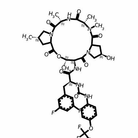 C[C@H]1CC2C(=O)O[C@@H](C)[C@H](NC(=O)[C@H](Cc3cc(F)cc(F)c3)NC(=O)Nc3ccc(OC(F)(F)F)cc3)C(=O)N3C[C@H](O)CC3C(=O)N(C)[C@@H](C)C(=O)N[C@@H](C)C(=O)N2C1